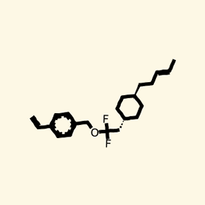 C=Cc1ccc(COC(F)(F)C[C@H]2CC[C@H](CCC=CC)CC2)cc1